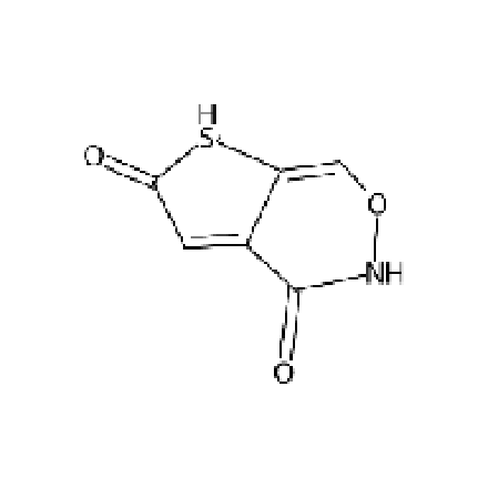 O=C1C=C2C(=O)NOC=C2[SH]1